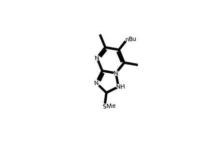 CCCCC1=C(C)N2NC(SC)N=C2N=C1C